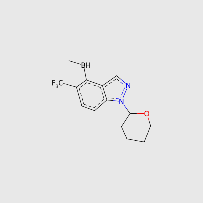 CBc1c(C(F)(F)F)ccc2c1cnn2C1CCCCO1